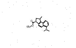 CC1CN(C(=O)OC(C)(C)C)c2ccc3c(N(C)C)cccc3c21